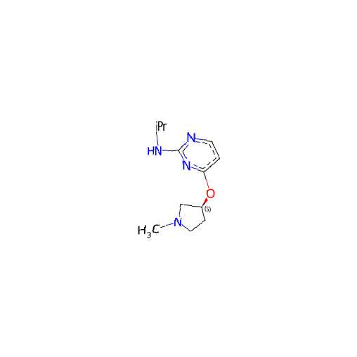 CC(C)Nc1nccc(O[C@H]2CCN(C)C2)n1